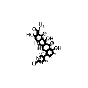 CC(=O)C1=C(O)C[C@@H]2C[C@@H]3Cc4c(-c5cnc(Cl)nc5)ccc(O)c4C(=O)C3=C(O)C2C1=O